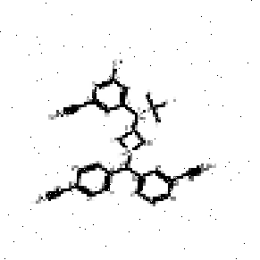 CC(C)(F)[C@@H](c1cc(F)cc(C#N)c1)C1CN(C(c2ccc(C#N)cc2)c2cccc(C#N)c2)C1